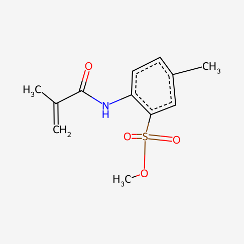 C=C(C)C(=O)Nc1ccc(C)cc1S(=O)(=O)OC